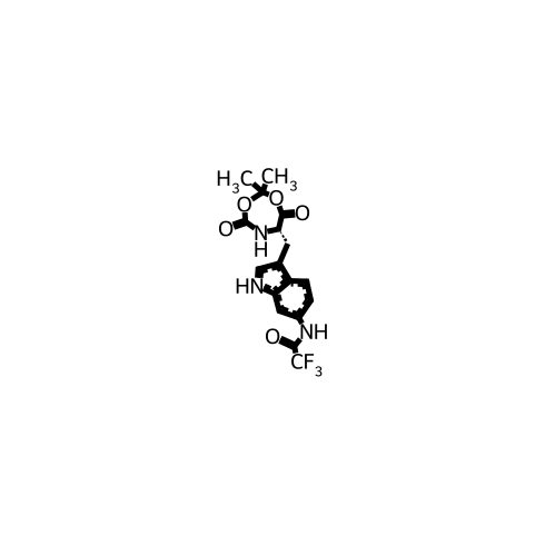 CC1(C)OC(=O)N[C@@H](Cc2c[nH]c3cc(NC(=O)C(F)(F)F)ccc23)C(=O)O1